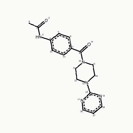 CC(=O)Nc1ccc(C(=O)N2CCN(c3ncccn3)CC2)cc1